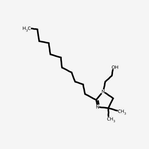 CCCCCCCCCCCC1=NC(C)(C)CN1CCO